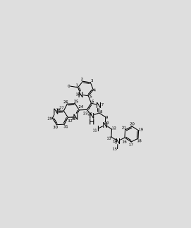 Cc1cccc(-c2nc(CN(I)CCN(C)c3ccccc3)[nH]c2-c2ccc3ncccc3n2)n1